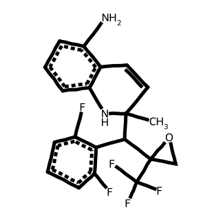 CC1(C(c2c(F)cccc2F)C2(C(F)(F)F)CO2)C=Cc2c(N)cccc2N1